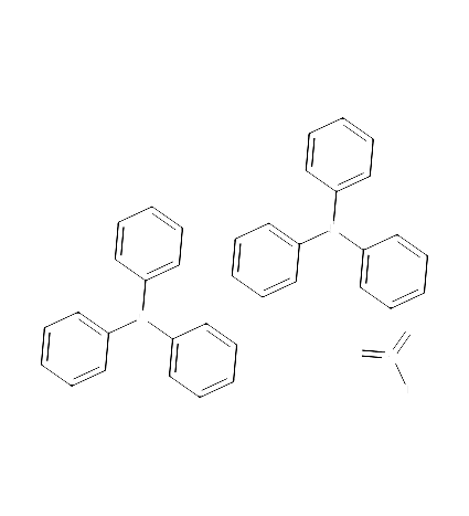 [O]=[Re](=[O])[I].c1ccc(P(c2ccccc2)c2ccccc2)cc1.c1ccc(P(c2ccccc2)c2ccccc2)cc1